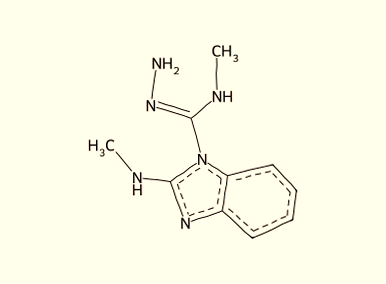 CN/C(=N\N)n1c(NC)nc2ccccc21